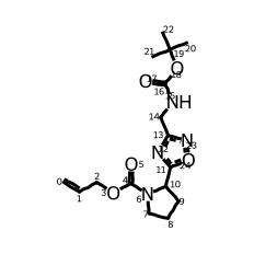 C=CCOC(=O)N1CCCC1c1nc(CNC(=O)OC(C)(C)C)no1